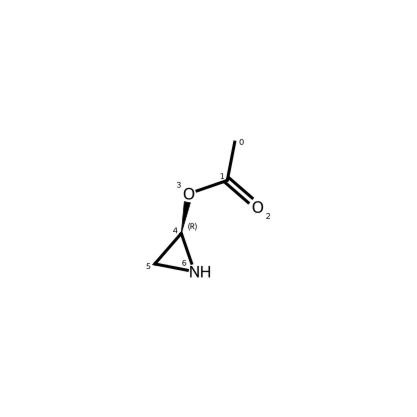 CC(=O)O[C@@H]1CN1